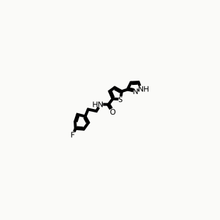 O=C(NCCc1ccc(F)cc1)c1ccc(-c2cc[nH]n2)s1